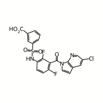 O=C(O)c1cccc(S(=O)(=O)Nc2ccc(F)c(C(=O)n3ccc4cc(Cl)cnc43)c2F)c1